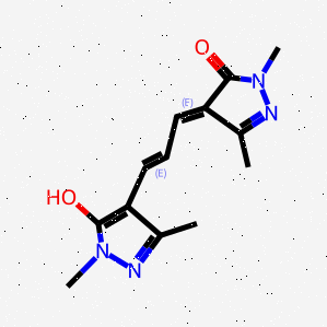 CC1=NN(C)C(=O)/C1=C/C=C/c1c(C)nn(C)c1O